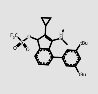 C[SiH](C)C1=C(C2CC2)C(OS(=O)(=O)C(F)(F)F)c2cccc(-c3cc(C(C)(C)C)cc(C(C)(C)C)c3)c21